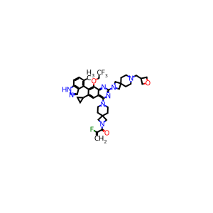 C=C(F)C(=O)N1CC2(CCN(c3nc(N4CC5(CCN(CC6COC6)CC5)C4)nc4c(OCC(F)(F)F)c(-c5c(C)ccc6[nH]ncc56)c(C5CC5)cc34)CC2)C1